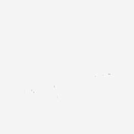 Cc1cc(C2(c3cc(C)c(N)c(C)c3)CCCCC2)cc(C)c1C